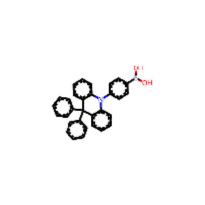 OB(O)c1ccc(N2c3ccccc3C(c3ccccc3)(c3ccccc3)c3ccccc32)cc1